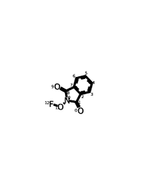 O=C1c2ccccc2C(=O)N1OF